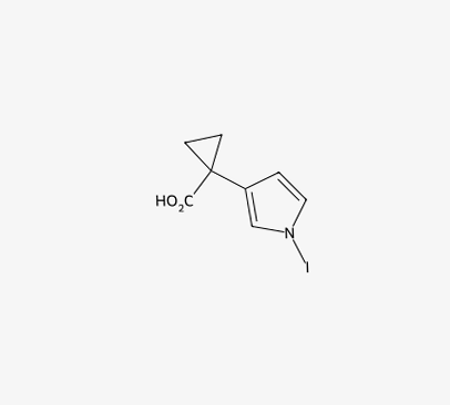 O=C(O)C1(c2ccn(I)c2)CC1